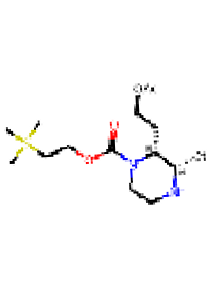 CC[C@@H]1NCCN(C(=O)OCCS(C)(C)C)[C@@H]1CCOC(C)=O